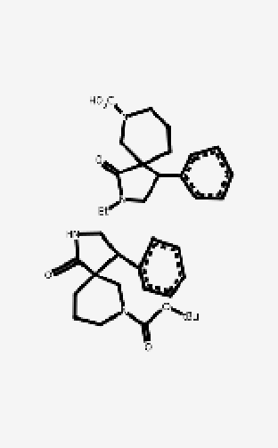 CC(C)(C)OC(=O)N1CCCC2(C1)C(=O)NCC2c1ccccc1.CCN1CC(c2ccccc2)C2(CCCN(C(=O)O)C2)C1=O